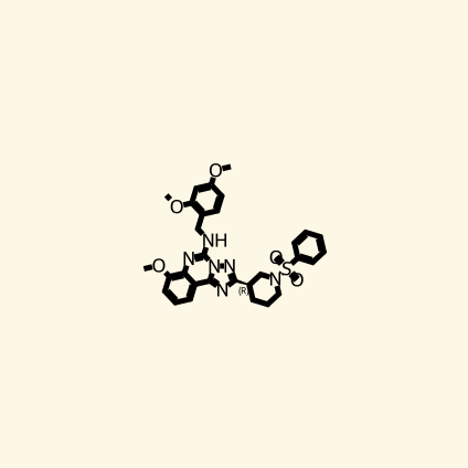 COc1ccc(CNc2nc3c(OC)cccc3c3nc([C@@H]4CCCN(S(=O)(=O)c5ccccc5)C4)nn23)c(OC)c1